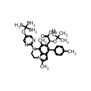 BC(B)(B)Oc1cnc(N2CCn3c(C)cc4c(-c5ccc(C)cc5)c([C@H](OC(C)(C)C)C(=O)O)c(C)c2c43)nc1